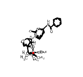 C=C[C@H](C)C12COC([C@H](n3ccc(NC(=O)c4ccccc4)nc3=O)O1)[C@@H]2O[Si](C)(C)C(C)(C)C